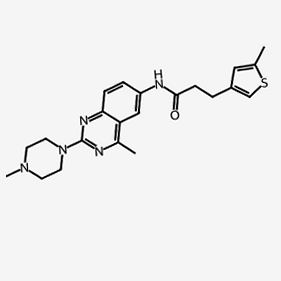 Cc1cc(CCC(=O)Nc2ccc3nc(N4CCN(C)CC4)nc(C)c3c2)cs1